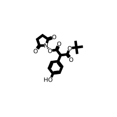 CC(C)(C)OC(=O)C(C(=O)ON1C(=O)CCC1=O)c1ccc(O)cc1